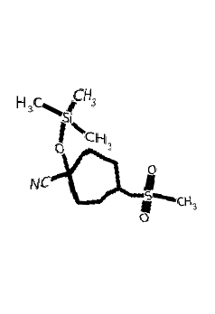 C[Si](C)(C)OC1(C#N)CCC(S(C)(=O)=O)CC1